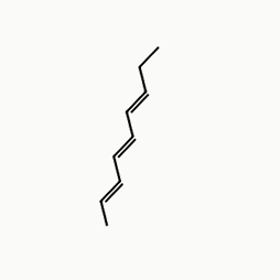 CC=CC=CC=CCC